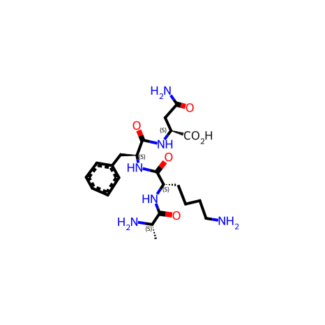 C[C@H](N)C(=O)N[C@@H](CCCCN)C(=O)N[C@@H](Cc1ccccc1)C(=O)N[C@@H](CC(N)=O)C(=O)O